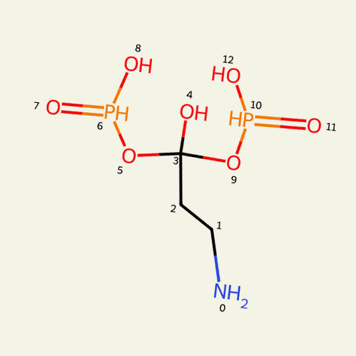 NCCC(O)(O[PH](=O)O)O[PH](=O)O